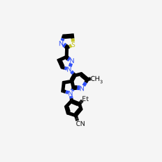 CCc1cc(C#N)ccc1N1CCc2c(-n3ccc(-c4nccs4)n3)cc(C)nc21